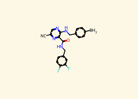 Bc1ccc(CNc2ncc(C#N)nc2C(=O)NCc2ccc(F)c(F)c2)cc1